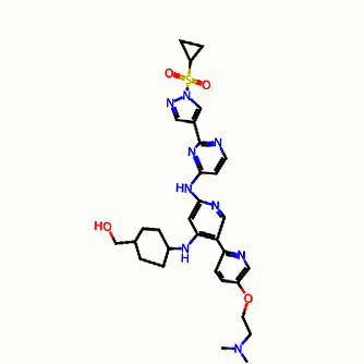 CN(C)CCOc1ccc(-c2cnc(Nc3ccnc(-c4cnn(S(=O)(=O)C5CC5)c4)n3)cc2NC2CCC(CO)CC2)nc1